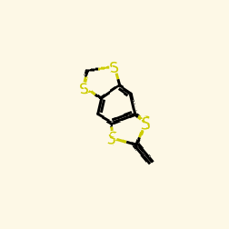 C=C1Sc2cc3c(cc2S1)SCS3